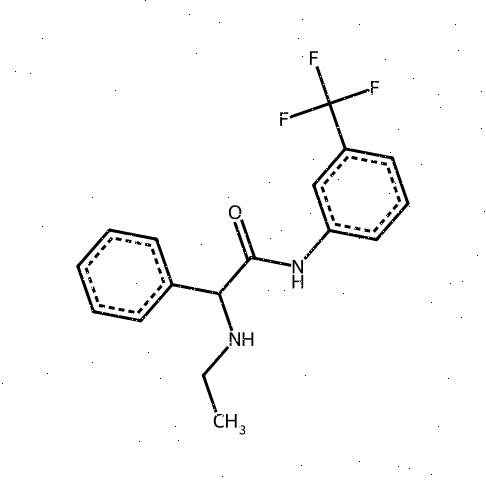 CCNC(C(=O)Nc1cccc(C(F)(F)F)c1)c1ccccc1